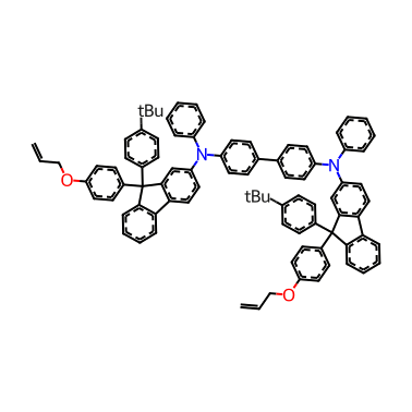 C=CCOc1ccc(C2(c3ccc(C(C)(C)C)cc3)c3ccccc3-c3ccc(N(c4ccccc4)c4ccc(-c5ccc(N(c6ccccc6)c6ccc7c(c6)C(c6ccc(OCC=C)cc6)(c6ccc(C(C)(C)C)cc6)c6ccccc6-7)cc5)cc4)cc32)cc1